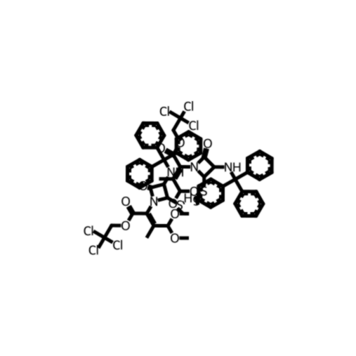 COC(OC)/C(C)=C(/C(=O)OCC(Cl)(Cl)Cl)N1C(=O)C(NC(c2ccccc2)(c2ccccc2)c2ccccc2)C1[S][Hg][S]C1C(NC(c2ccccc2)(c2ccccc2)c2ccccc2)C(=O)N1/C(C(=O)OCC(Cl)(Cl)Cl)=C(/C)C(OC)OC